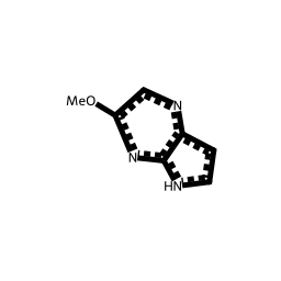 COc1cnc2cc[nH]c2n1